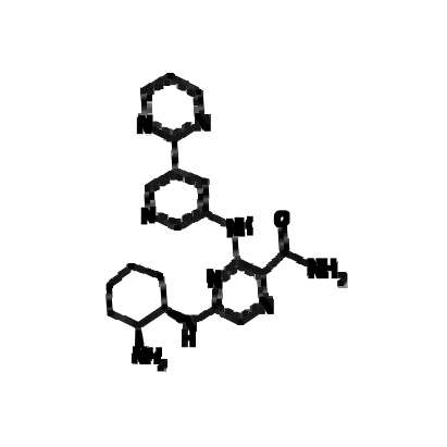 NC(=O)c1ncc(N[C@@H]2CCCC[C@@H]2N)nc1Nc1cncc(-c2ncccn2)c1